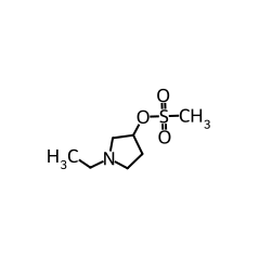 CCN1CCC(OS(C)(=O)=O)C1